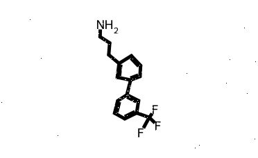 NCCCc1cccc(-c2cccc(C(F)(F)F)c2)c1